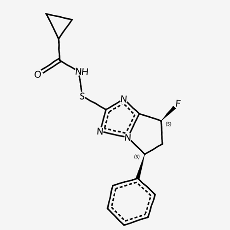 O=C(NSc1nc2n(n1)[C@H](c1ccccc1)C[C@@H]2F)C1CC1